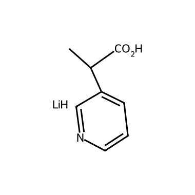 CC(C(=O)O)c1cccnc1.[LiH]